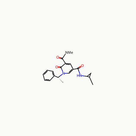 CNC(=O)c1cc(C(=O)NC2CC2C)cn([C@H](C)c2ccccc2)c1=O